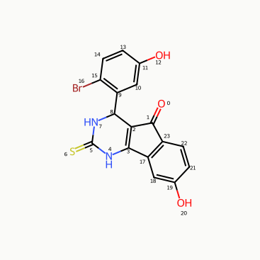 O=C1C2=C(NC(=S)NC2c2cc(O)ccc2Br)c2cc(O)ccc21